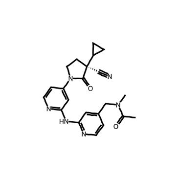 CC(=O)N(C)Cc1ccnc(Nc2cc(N3CC[C@@](C#N)(C4CC4)C3=O)ccn2)c1